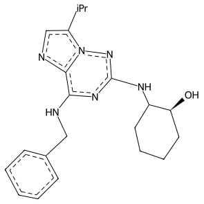 CC(C)c1cnc2c(NCc3ccccc3)nc(NC3CCCC[C@@H]3O)nn12